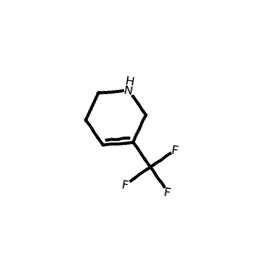 FC(F)(F)C1=CCCNC1